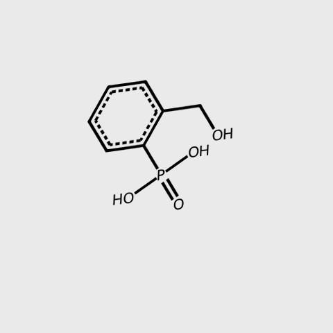 O=P(O)(O)c1ccccc1CO